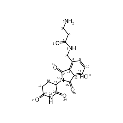 Cl.NCCC(=O)NCc1cccc2c1C(=O)N(C1CCC(=O)NC1=O)C2=O